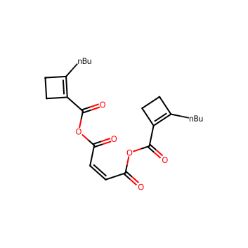 CCCCC1=C(C(=O)OC(=O)/C=C\C(=O)OC(=O)C2=C(CCCC)CC2)CC1